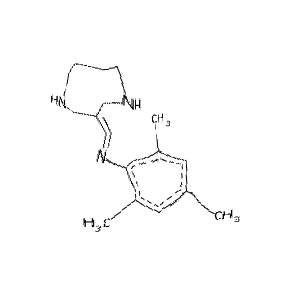 Cc1cc(C)c(N=C2NCCN2)c(C)c1